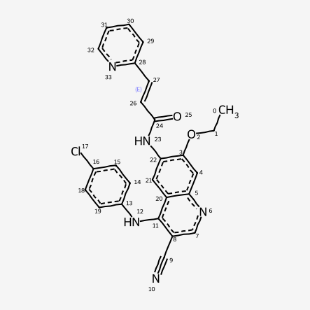 CCOc1cc2ncc(C#N)c(Nc3ccc(Cl)cc3)c2cc1NC(=O)/C=C/c1ccccn1